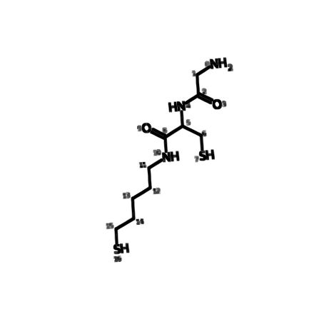 NCC(=O)NC(CS)C(=O)NCCCCCS